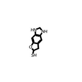 SC1Cc2cc3c(cc2O1)NCN3